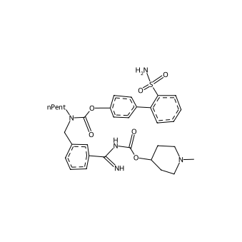 CCCCCN(Cc1cccc(C(=N)NC(=O)OC2CCN(C)CC2)c1)C(=O)Oc1ccc(-c2ccccc2S(N)(=O)=O)cc1